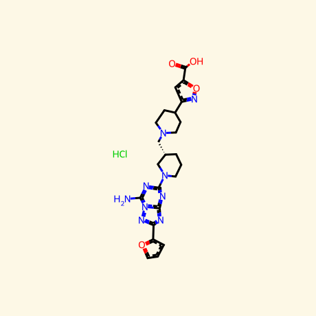 Cl.Nc1nc(N2CCC[C@@H](CN3CCC(c4cc(C(=O)O)on4)CC3)C2)nc2nc(-c3ccco3)nn12